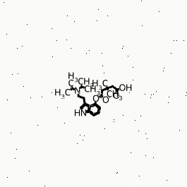 CC(C)N(CCc1c[nH]c2cccc(OC(=O)CC(C)(C)CC(=O)O)c12)C(C)C